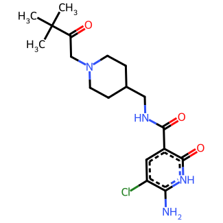 CC(C)(C)C(=O)CN1CCC(CNC(=O)c2cc(Cl)c(N)[nH]c2=O)CC1